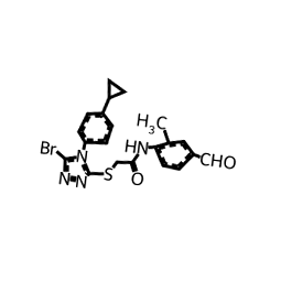 Cc1cc(C=O)ccc1NC(=O)CSc1nnc(Br)n1-c1ccc(C2CC2)cc1